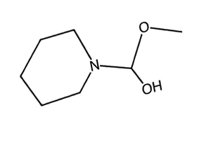 COC(O)N1CCCCC1